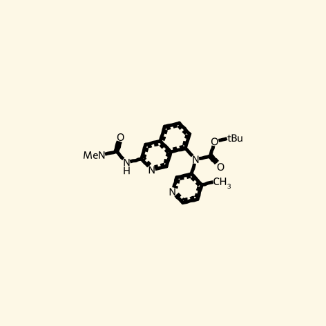 CNC(=O)Nc1cc2cccc(N(C(=O)OC(C)(C)C)c3cnccc3C)c2cn1